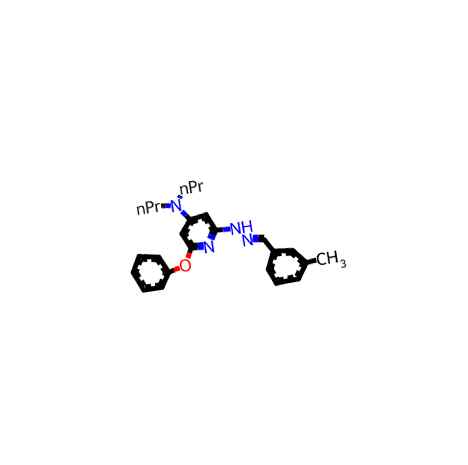 CCCN(CCC)c1cc(N/N=C/c2cccc(C)c2)nc(Oc2ccccc2)c1